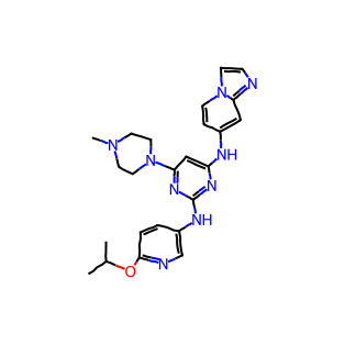 CC(C)Oc1ccc(Nc2nc(Nc3ccn4ccnc4c3)cc(N3CCN(C)CC3)n2)cn1